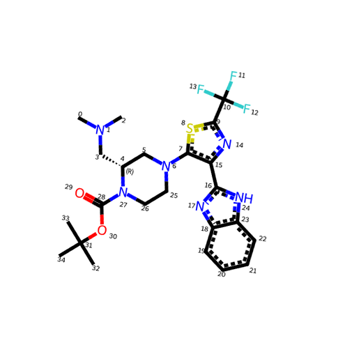 CN(C)C[C@@H]1CN(c2sc(C(F)(F)F)nc2-c2nc3ccccc3[nH]2)CCN1C(=O)OC(C)(C)C